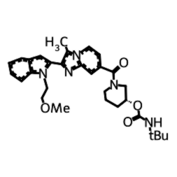 COCCn1c(-c2nc3cc(C(=O)N4CCC[C@@H](OC(=O)NC(C)(C)C)C4)ccn3c2C)cc2ccccc21